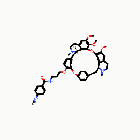 [C-]#[N+]c1ccc(C(=O)NCCCOc2ccc3cc2Oc2ccc(cc2)CC2c4cc(c(OC)cc4CCN2C)Oc2c(OC)c(OC)cc4c2[C@@H](C3)N(C)CC4)cc1